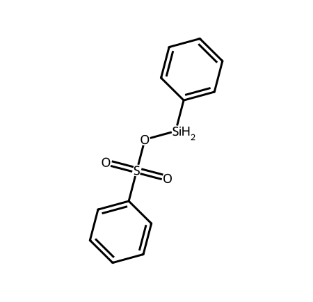 O=S(=O)(O[SiH2]c1ccccc1)c1ccccc1